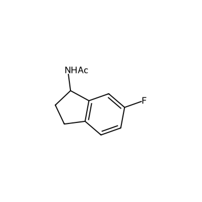 CC(=O)NC1CCc2ccc(F)cc21